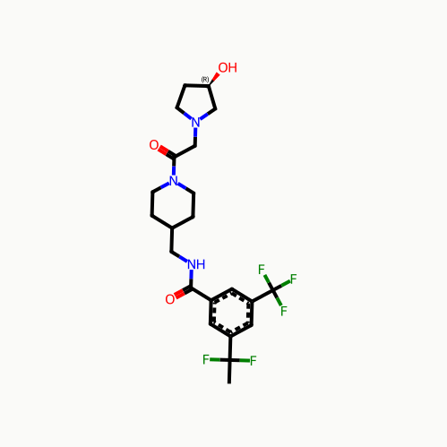 CC(F)(F)c1cc(C(=O)NCC2CCN(C(=O)CN3CC[C@@H](O)C3)CC2)cc(C(F)(F)F)c1